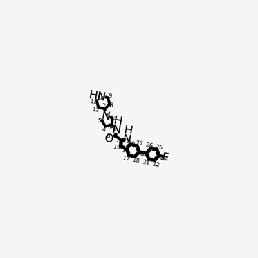 O=C(N[C@H]1CCN(C2CCNCC2)C1)c1cc2ccc(-c3ccc(F)cc3)cc2[nH]1